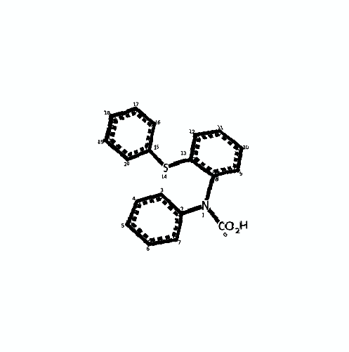 O=C(O)N(c1ccccc1)c1ccccc1Sc1ccccc1